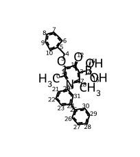 Cc1c(OCc2ccccc2)c(=O)c(B(O)O)c(C)n1-c1cccc(-c2ccccc2)c1